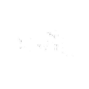 CC1(C)CC(c2ccccc2)Nc2c(C(=O)N3CCC(C(N)=O)CC3)cnn21